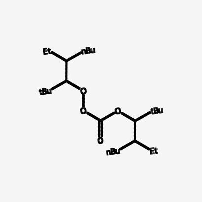 CCCCC(CC)C(OOC(=O)OC(C(CC)CCCC)C(C)(C)C)C(C)(C)C